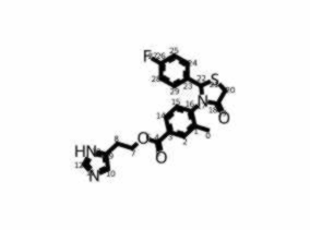 Cc1cc(C(=O)OCCc2cnc[nH]2)ccc1N1C(=O)CSC1c1ccc(F)cc1